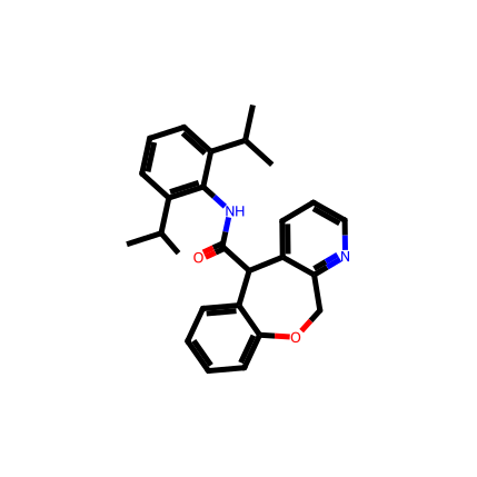 CC(C)c1cccc(C(C)C)c1NC(=O)C1c2ccccc2OCc2ncccc21